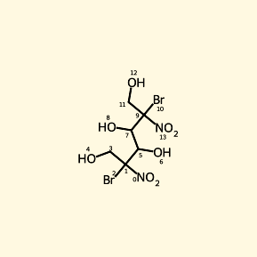 O=[N+]([O-])C(Br)(CO)C(O)C(O)C(Br)(CO)[N+](=O)[O-]